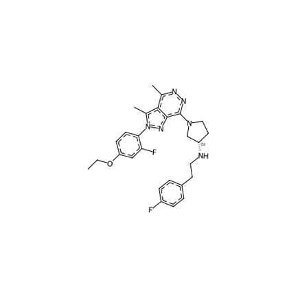 CCOc1ccc(-n2nc3c(N4CC[C@H](NCCc5ccc(F)cc5)C4)nnc(C)c3c2C)c(F)c1